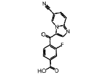 N#Cc1ccc2ncc(C(=O)c3ccc(C(=O)O)cc3F)n2c1